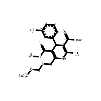 CCOC(=O)OCSCC1=C(C(=O)OC(C)C)C(c2cccc(C(F)(F)F)c2)C(C(=O)OC)=C(C)N1